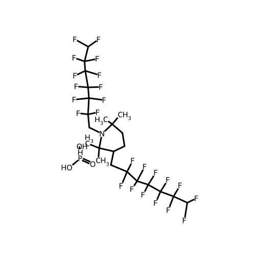 CC1(C)CCC(CC(F)(F)C(F)(F)C(F)(F)C(F)(F)C(F)(F)C(F)F)C(C)(C)N1CC(F)(F)C(F)(F)C(F)(F)C(F)(F)C(F)(F)C(F)F.O=[PH](O)O